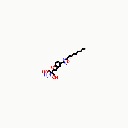 CCCCCC/C=C/c1nc(-c2ccc3oc(C(N)(CO)CO)cc3c2)no1